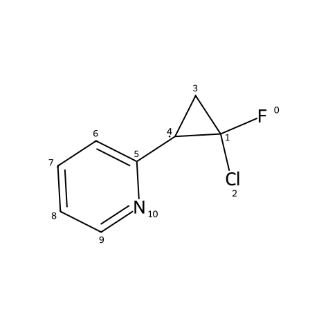 FC1(Cl)C[C]1c1ccccn1